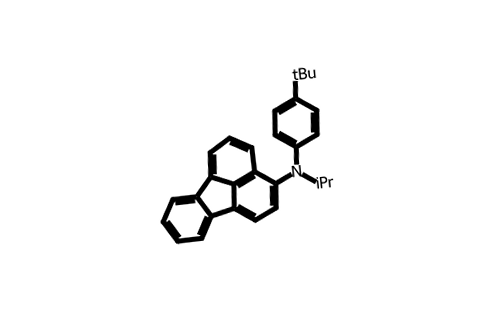 CC(C)N(c1ccc(C(C)(C)C)cc1)c1ccc2c3c(cccc13)-c1ccccc1-2